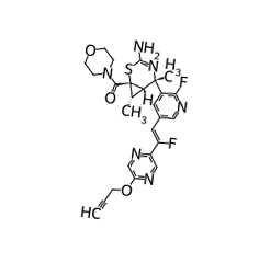 C#CCOc1cnc(/C(F)=C/c2cnc(F)c([C@@]3(C)N=C(N)S[C@]4(C(=O)N5CCOCC5)[C@H]3[C@@H]4C)c2)cn1